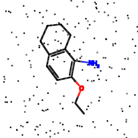 CCOc1ccc2c(c1N)CCCC2